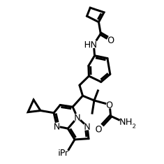 CC(C)c1cnn2c(C(Cc3cccc(NC(=O)C4=CCC4)c3)C(C)(C)OC(N)=O)cc(C3CC3)nc12